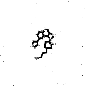 NCCCc1ccc(-n2cnc3cnc4ccc(-c5ccsc5)cc4c32)c(Cl)c1